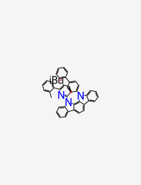 CCC(C)c1ccc(-n2c3ccccc3c3ccc4c5ccccc5n(-c5ccc(-c6ccccc6)cc5)c4c32)nc1-c1ccccc1C